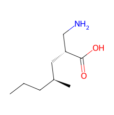 CCC[C@H](C)C[C@H](CN)C(=O)O